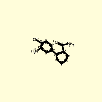 NC(=O)c1ccccc1-c1ccc(Cl)c(N)c1